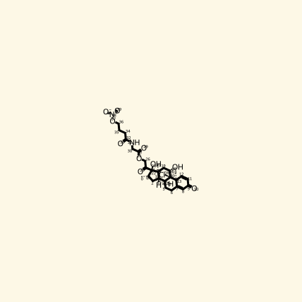 C[C@H]1C[C@H]2[C@@H]3CCC4=CC(=O)C=C[C@]4(C)[C@@]3(Cl)[C@@H](O)C[C@]2(C)[C@@]1(O)C(=O)COC(=O)CNC(=O)CCCO[N+](=O)[O-]